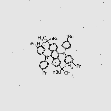 CCCCC(C)(C)c1ccc2c(N(c3ccc(C(C)C)cc3)c3ccc(C(C)(C)C)cc3)c3cc(C(C)(C)CCCC)ccc3c(N(c3ccc(C(C)C)cc3)c3ccc(C(C)C)cc3)c2c1